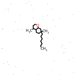 CCCCCCCC1(C)CCC2C(C)CCOC2C1